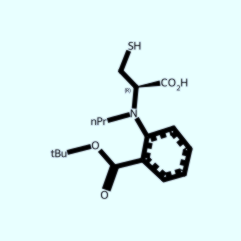 CCCN(c1ccccc1C(=O)OC(C)(C)C)[C@@H](CS)C(=O)O